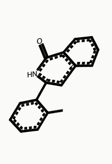 Cc1ccccc1-c1cc2ccccc2c(=O)[nH]1